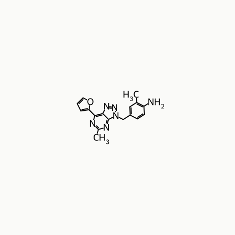 Cc1nc(-c2ccco2)c2nnn(Cc3ccc(N)c(C)c3)c2n1